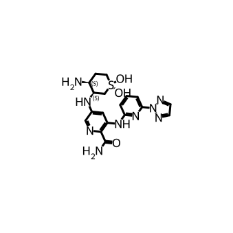 NC(=O)c1ncc(N[C@@H]2CS(O)(O)CC[C@@H]2N)cc1Nc1cccc(-n2nccn2)n1